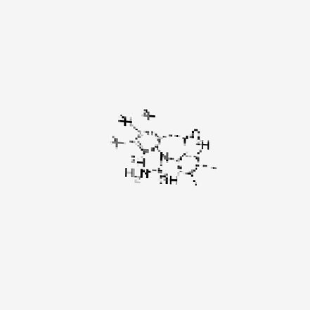 [2H]c1c([2H])c([2H])c2c(c1[2H])CC(=O)c1c([2H])c(C)c(C)c([2H])c1N2C(N)=O